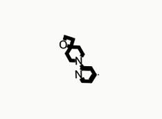 [c]1ccnc(N2CCC3(CCO3)CC2)c1